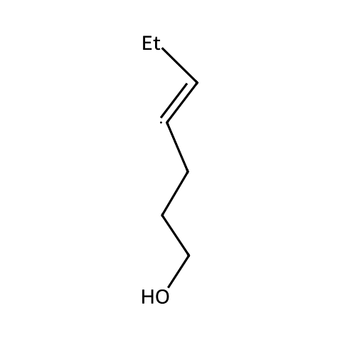 CCC=[C]CCCO